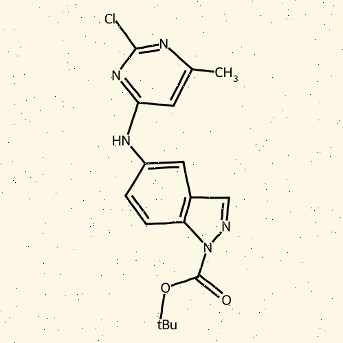 Cc1cc(Nc2ccc3c(cnn3C(=O)OC(C)(C)C)c2)nc(Cl)n1